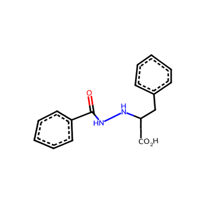 O=C(NNC(Cc1ccccc1)C(=O)O)c1ccccc1